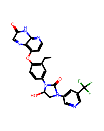 CCc1cc(N2C(=O)N(c3cncc(C(F)(F)F)c3)CC2O)ccc1Oc1ccnc2[nH]c(=O)cnc12